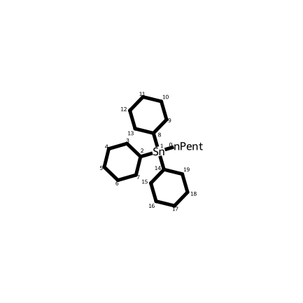 CCCC[CH2][Sn]([CH]1CCCCC1)([CH]1CCCCC1)[CH]1CCCCC1